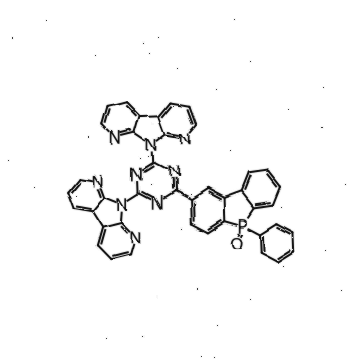 O=P1(c2ccccc2)c2ccccc2-c2cc(-c3nc(-n4c5ncccc5c5cccnc54)nc(-n4c5ncccc5c5cccnc54)n3)ccc21